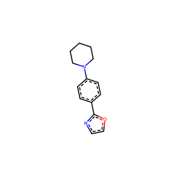 c1coc(-c2ccc(N3CCCCC3)cc2)n1